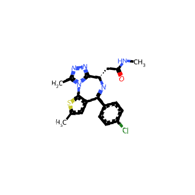 CNC(=O)C[C@@H]1N=C(c2ccc(Cl)cc2)c2cc(C)sc2-n2c(C)nnc21